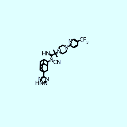 CC(C)(C(=N)N(C#N)C1C2CC3CC1CC(c1nn[nH]n1)(C3)C2)N1CCN(c2ccc(C(F)(F)F)cn2)CC1